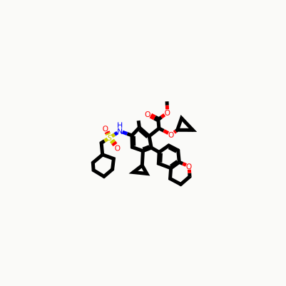 COC(=O)C(OC1CC1)c1c(C)c(NS(=O)(=O)CC2CCCCC2)cc(C2CC2)c1-c1ccc2c(c1)CCCO2